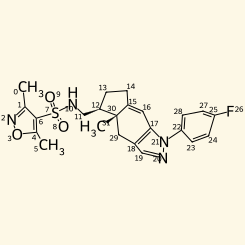 Cc1noc(C)c1S(=O)(=O)NC[C@H]1CCC2=Cc3c(cnn3-c3ccc(F)cc3)C[C@@]21C